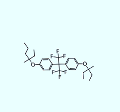 CCCC(C)(CC)Oc1ccc(C(c2ccc(OC(C)(CC)CC)cc2)(C(F)(F)F)C(F)(F)F)cc1